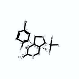 CC(F)(F)[C@H]1OC[C@]2(c3cc(Br)ccc3F)NC(N)OC[C@H]12